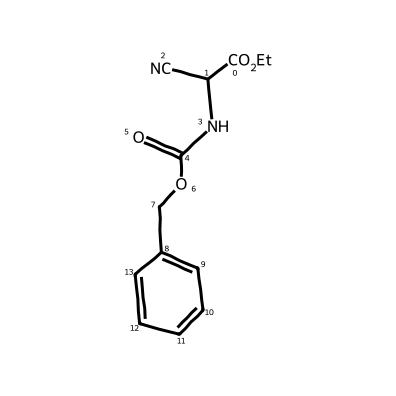 CCOC(=O)C(C#N)NC(=O)OCc1ccccc1